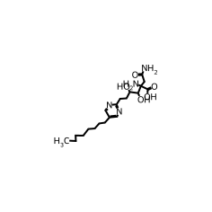 CCCCCCCCc1cnc(CCC(O)C(O)C(N)(CC(N)=O)C(=O)O)nc1